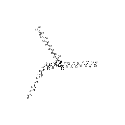 CCCCCCCCCCCCCCCCC(C)C(=O)OCC(COC(=O)CCCCCCCCCCCCCCC)OC(=O)C(C)CCCCCCCCCCCCCCCC